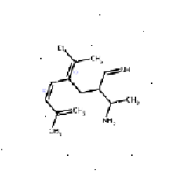 C=C(C)/C=C\C(CC(C=N)C(C)N)=C(\C)CC